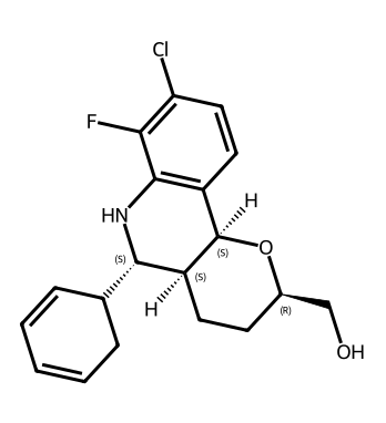 OC[C@H]1CC[C@@H]2[C@H](O1)c1ccc(Cl)c(F)c1N[C@H]2C1C=CC=CC1